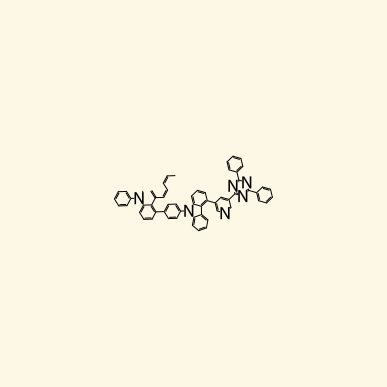 C=C(/C=C\C=C/C)c1c(-c2ccc(-n3c4ccccc4c4c(-c5cncc(-c6nc(-c7ccccc7)nc(-c7ccccc7)n6)c5)cccc43)cc2)cccc1N(C)c1ccccc1